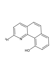 [2H]c1ccc2ccc3cccc(O)c3c2n1